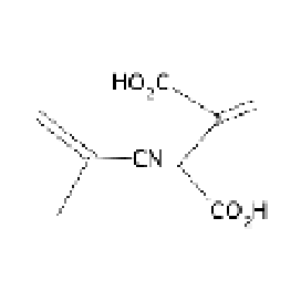 C=C(C)C#N.C=C(CC(=O)O)C(=O)O